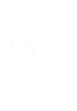 NC(=O)c1ccc(CCN[C@@H](C(=O)c2c[nH]c3ccccc23)c2ccccc2)cc1